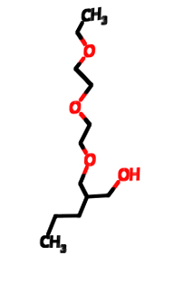 CCCC(CO)COCCOCCOCC